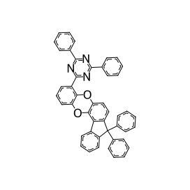 c1ccc(-c2nc(-c3ccccc3)nc(-c3cccc4c3Oc3ccc5c(c3O4)-c3ccccc3C5(c3ccccc3)c3ccccc3)n2)cc1